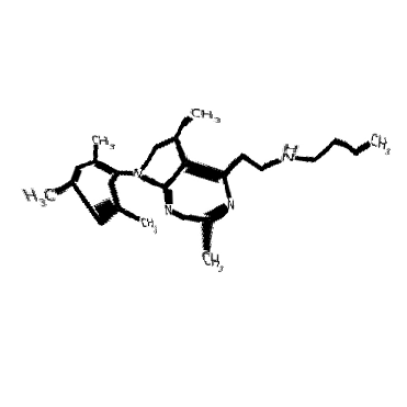 CCCCNCCc1nc(C)nc2c1C(C)CN2c1c(C)cc(C)cc1C